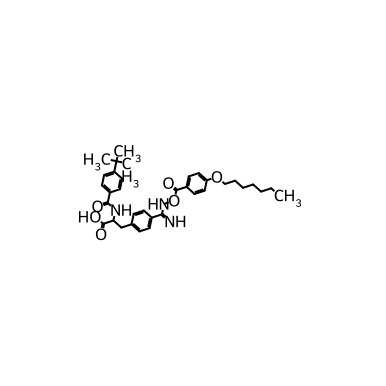 CCCCCCCOc1ccc(C(=O)ONC(=N)c2ccc(CC(NC(=O)c3ccc(C(C)(C)C)cc3)C(=O)O)cc2)cc1